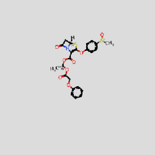 C[C@@H](OC(=O)COc1ccccc1)OC(=O)C1=C(Oc2ccc([S+](C)[O-])cc2)S[C@H]2CC(=O)N12